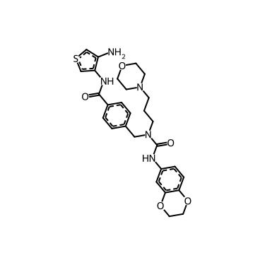 Nc1cscc1NC(=O)c1ccc(CN(CCCN2CCOCC2)C(=O)Nc2ccc3c(c2)OCCO3)cc1